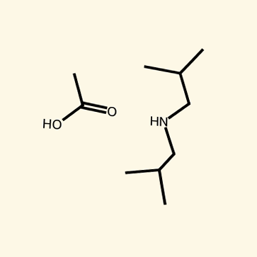 CC(=O)O.CC(C)CNCC(C)C